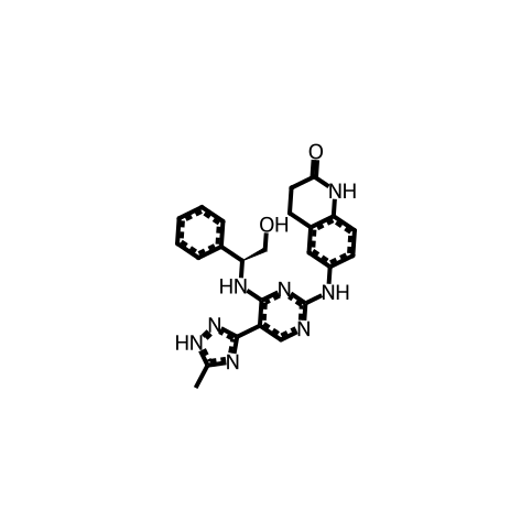 Cc1nc(-c2cnc(Nc3ccc4c(c3)CCC(=O)N4)nc2N[C@H](CO)c2ccccc2)n[nH]1